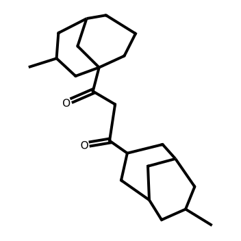 CC1CC2CC(C1)CC(C(=O)CC(=O)C13CCCC(CC(C)C1)C3)C2